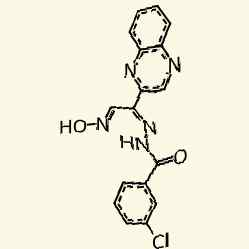 O=C(NN=C(C=NO)c1cnc2ccccc2n1)c1cccc(Cl)c1